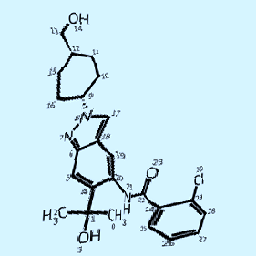 CC(C)(O)c1cc2nn([C@H]3CC[C@H](CO)CC3)cc2cc1NC(=O)c1ccccc1Cl